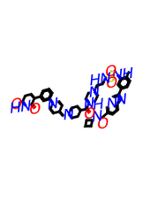 Cc1ccc(-c2cn3cc(C(=O)NC4CCC4)ccc3n2)cc1NS(=O)(=O)NCCN1CCN(C(=O)C2CCN(CC3CCN(c4cccc(C5CCC(=O)NC5=O)c4)CC3)CC2)CC1